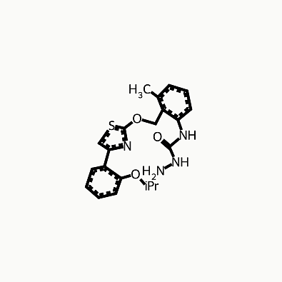 Cc1cccc(NC(=O)NN)c1COc1nc(-c2ccccc2OC(C)C)cs1